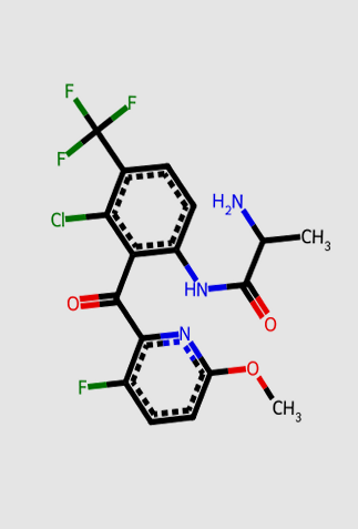 COc1ccc(F)c(C(=O)c2c(NC(=O)C(C)N)ccc(C(F)(F)F)c2Cl)n1